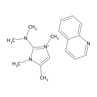 Cc1c[n+](C)c(N(C)C)n1C.c1ccc2ncccc2c1